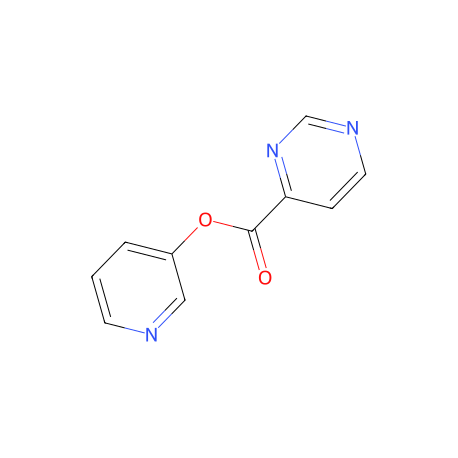 O=C(Oc1cccnc1)c1ccncn1